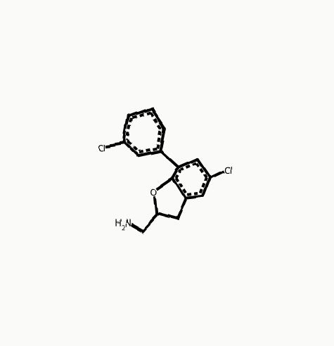 NCC1Cc2cc(Cl)cc(-c3cccc(Cl)c3)c2O1